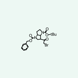 CC(C)(C)OC(=O)N1CCC2C1C(C(=O)CBr)CN2C(=O)OCc1ccccc1